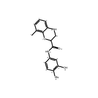 Cc1cccc2c1OC(C(=O)Nc1ccc(C(C)(C)C)c(O)c1)CN2